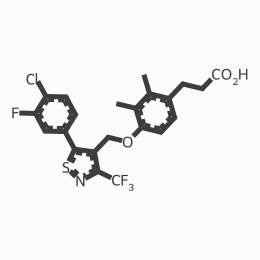 Cc1c(CCC(=O)O)ccc(OCc2c(C(F)(F)F)nsc2-c2ccc(Cl)c(F)c2)c1C